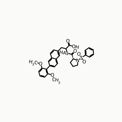 COc1cccc(OC)c1-c1ccc2cc(CC([AsH]C(=O)[C@@H]3CCCN3S(=O)(=O)c3ccccc3)C(=O)O)ccc2c1